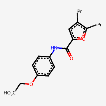 CC(C)c1cc(C(=O)Nc2ccc(OCC(=O)O)cc2)oc1C(C)C